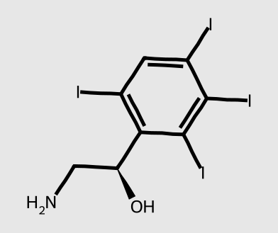 NC[C@H](O)c1c(I)cc(I)c(I)c1I